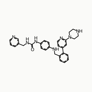 O=C(NCc1cccnc1)Nc1ccc(NCc2ccccc2-c2ccnc(N3CCNCC3)c2)cc1